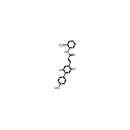 COc1ccc(-c2cc(C)c(/C=C/C(=O)Nc3ccccc3N)cc2C)cc1